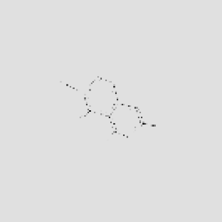 CCn1ccc2cc(C)cc(C)c2c1=O